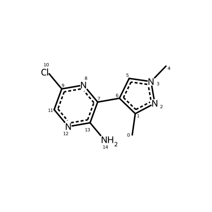 Cc1nn(C)cc1-c1nc(Cl)cnc1N